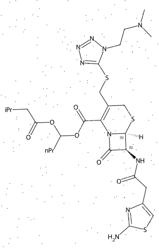 CCCC(OC(=O)CC(C)C)OC(=O)C1=C(CSc2nnnn2CCN(C)C)CS[C@H]2[C@@H](NC(=O)Cc3csc(N)n3)C(=O)N12